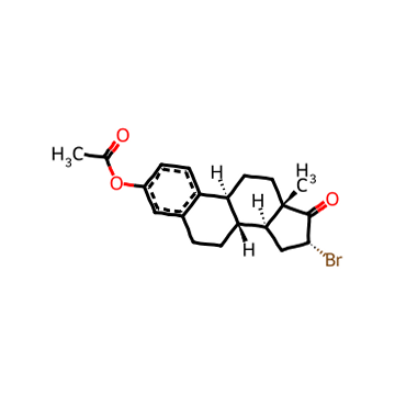 CC(=O)Oc1ccc2c(c1)CC[C@@H]1[C@@H]2CC[C@]2(C)C(=O)[C@H](Br)C[C@@H]12